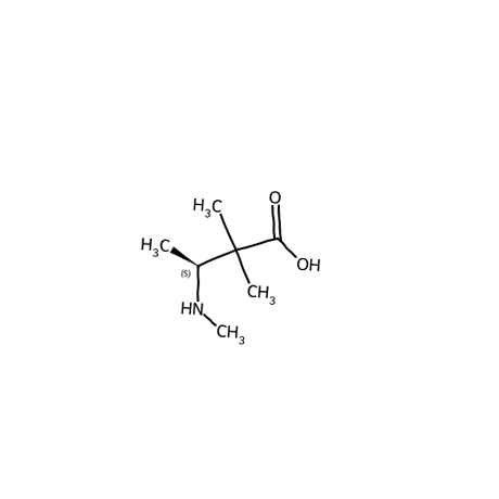 CN[C@@H](C)C(C)(C)C(=O)O